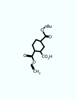 C=COC(=O)C1CCC(C(=O)OCCCC)CC1C(=O)O